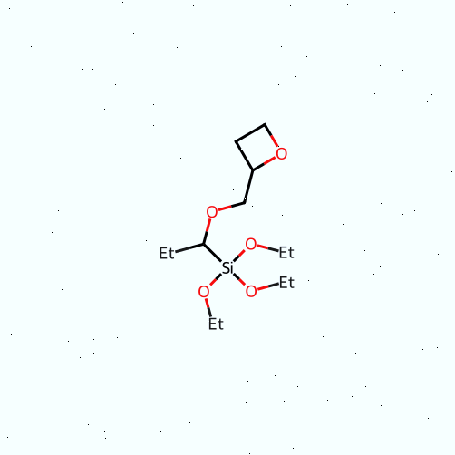 CCO[Si](OCC)(OCC)C(CC)OCC1CCO1